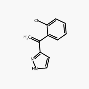 C=C(c1cc[nH]n1)c1ccccc1Cl